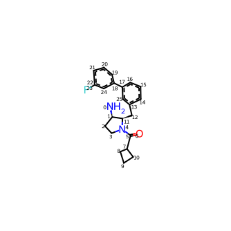 N[C@@H]1CCN(C(=O)C2CCC2)[C@@H]1Cc1cccc(-c2cccc(F)c2)c1